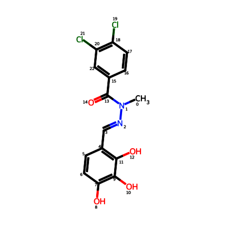 CN(N=Cc1ccc(O)c(O)c1O)C(=O)c1ccc(Cl)c(Cl)c1